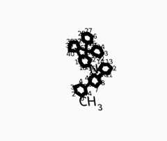 Cc1cccc(-c2ccc3c4ccccc4n(-c4ccc5c(c4)C(c4ccccc4)(c4ccccc4)c4ccccc4-5)c3c2)c1